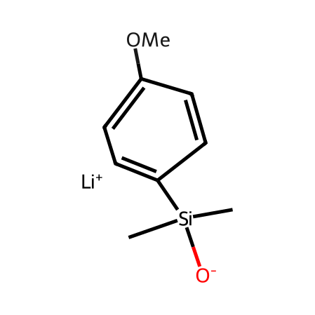 COc1ccc([Si](C)(C)[O-])cc1.[Li+]